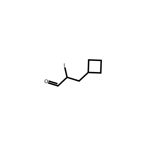 O=CC(I)CC1CCC1